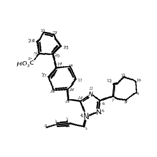 CC#CCn1nc(C2CCCCC2)nc1Cc1ccc(-c2ccccc2C(=O)O)cc1